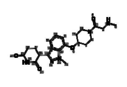 CNCC(=O)N1CCC(Oc2cccc3c(C4CCC(=O)NC4=O)nn(C)c23)CC1